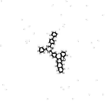 c1ccc(-c2ccc(-c3nc(-c4ccccc4)nc(-c4ccc(-c5nc6cc7ccccc7cc6c6oc7ccccc7c56)cc4)n3)cc2)cc1